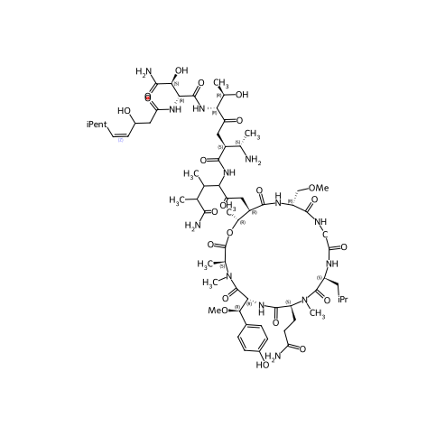 CCCC(C)/C=C\C(O)CC(=O)N[C@@H](C(=O)N[C@@H](C(=O)C[C@H](C(=O)NC(C(=O)C[C@H]1C(=O)N[C@H](COC)C(=O)NCC(=O)N[C@@H](CC(C)C)C(=O)N(C)[C@@H](CCC(N)=O)C(=O)N[C@H]([C@H](OC)c2ccc(O)cc2)C(=O)N(C)[C@@H](C)C(=O)O[C@@H]1C)C(C)C(C)C(N)=O)[C@H](C)N)[C@@H](C)O)[C@H](O)C(N)=O